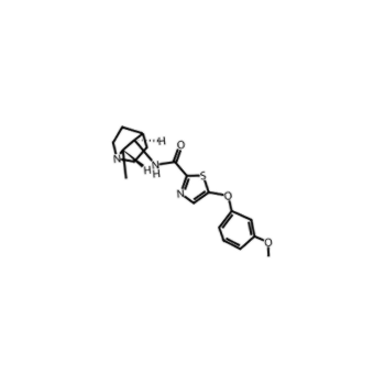 COc1cccc(Oc2cnc(C(=O)N[C@@H]3C4CCN(CC4)[C@H]3C)s2)c1